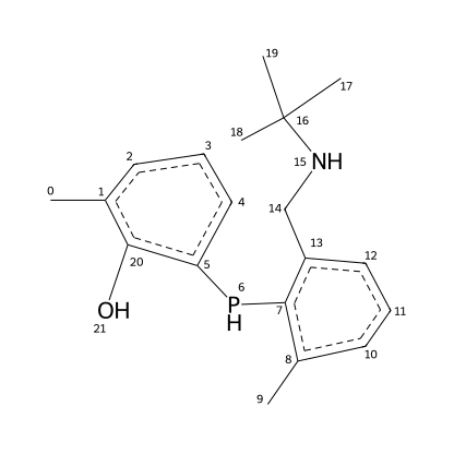 Cc1cccc(Pc2c(C)cccc2CNC(C)(C)C)c1O